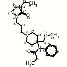 CCC(=O)N(c1ccccc1)C1(COC)CCN(CCCn2nnn(CC)c2=O)CC1